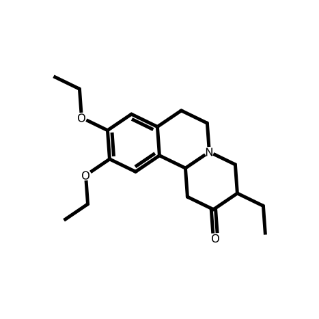 CCOc1cc2c(cc1OCC)C1CC(=O)C(CC)CN1CC2